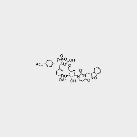 CC(=O)Oc1ccc(COP(=O)(OCc2ccc(OC(C)=O)cc2)OP(=O)(O)OC[C@H]2O[C@@H](n3ccc(=O)n(Cc4noc5ccccc45)c3=O)[C@@H](O)[C@H]2O)cc1